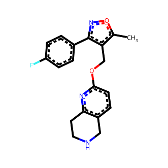 Cc1onc(-c2ccc(F)cc2)c1COc1ccc2c(n1)CCNC2